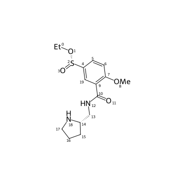 CCO[S@@](=O)c1ccc(OC)c(C(=O)NC[C@@H]2CCCN2)c1